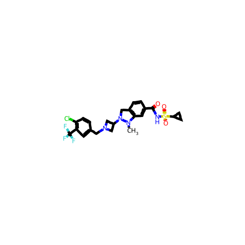 CN1c2cc(C(=O)NS(=O)(=O)C3CC3)ccc2CN1C1CN(Cc2ccc(Cl)c(C(F)(F)F)c2)C1